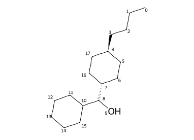 CCCC[C@H]1CC[C@H](C(O)C2CCCCC2)CC1